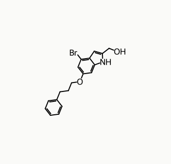 OCc1cc2c(Br)cc(OCCCc3ccccc3)cc2[nH]1